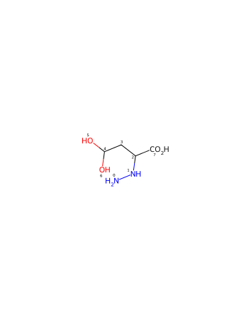 NNC(CC(O)O)C(=O)O